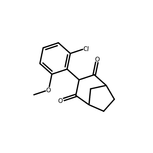 COc1cccc(Cl)c1C1C(=O)C2CCC(C2)C1=O